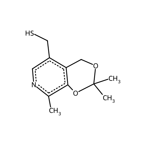 Cc1ncc(CS)c2c1OC(C)(C)OC2